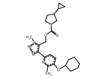 Cc1nc(-c2nnn(C)c2COC(=O)N2CCC(C3CC3)C2)ccc1OC1CCCCC1